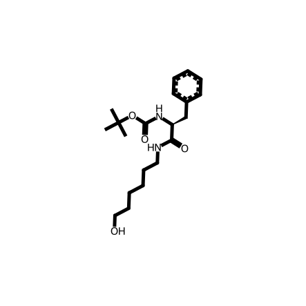 CC(C)(C)OC(=O)N[C@@H](Cc1ccccc1)C(=O)NCCCCCCO